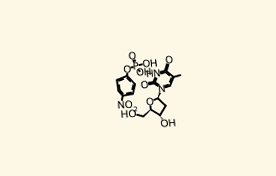 Cc1cn([C@H]2C[C@H](O)[C@@H](CO)O2)c(=O)[nH]c1=O.O=[N+]([O-])c1ccc(OP(=O)(O)O)cc1